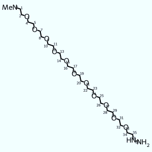 CNCCOCCOCCOCCOCCOCCOCCOCCOCCOCCOCCOCCNN